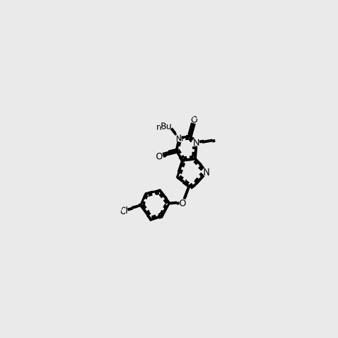 CCCCn1c(=O)c2cc(Oc3ccc(Cl)cc3)cnc2n(C)c1=O